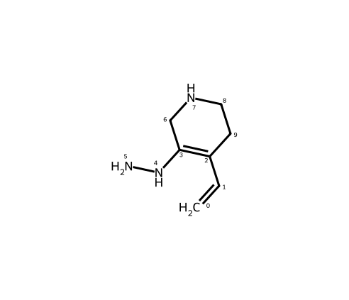 C=CC1=C(NN)CNCC1